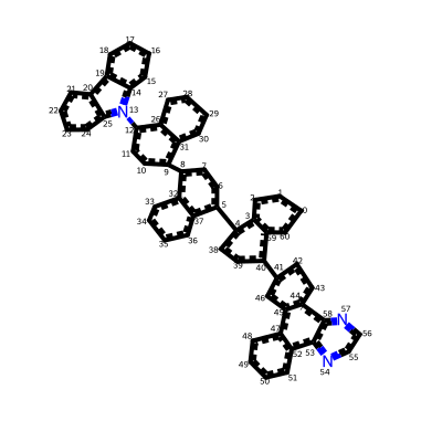 c1ccc2c(-c3ccc(-c4ccc(-n5c6ccccc6c6ccccc65)c5ccccc45)c4ccccc34)ccc(-c3ccc4c(c3)c3ccccc3c3nccnc43)c2c1